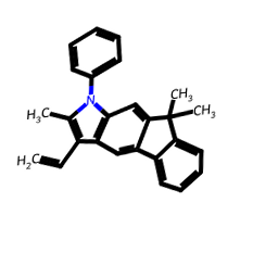 C=Cc1c(C)n(-c2ccccc2)c2cc3c(cc12)-c1ccccc1C3(C)C